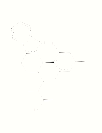 CC(CN1[C@H](c2c(F)cc(O)cc2F)c2[nH]c3ccccc3c2C[C@H]1C)C(=O)O